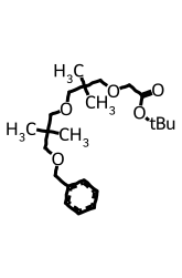 CC(C)(COCC(=O)OC(C)(C)C)COCC(C)(C)COCc1ccccc1